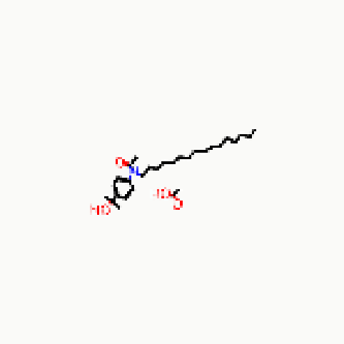 CC(=O)O.CCCCCCCCCCCCCCCCN(C(C)=O)c1ccc(C(C)(C)O)cc1